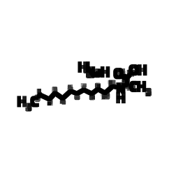 CCCCCCCCCCCCN[C@@H](C)C(=O)O.I.[NaH]